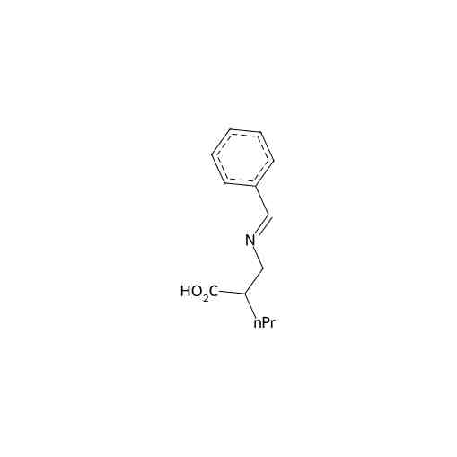 CCCC(CN=Cc1ccccc1)C(=O)O